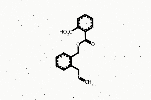 C=CCc1ccccc1COC(=O)c1ccccc1C(=O)O